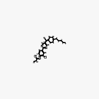 CCCCCC1CCC(C(C)c2cnc(-c3ccc(OC(=O)CC)c(Cl)c3)nc2)CC1